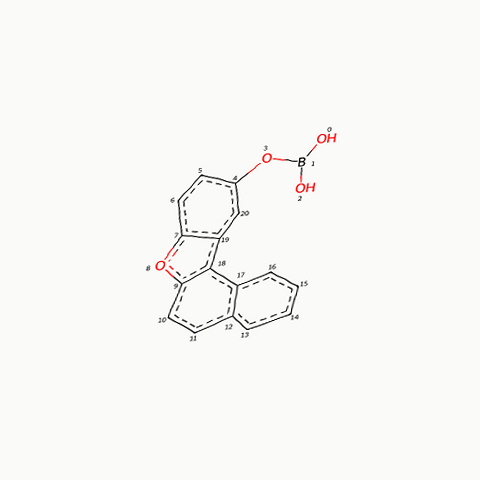 OB(O)Oc1ccc2oc3ccc4ccccc4c3c2c1